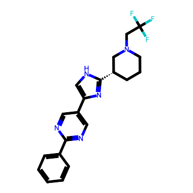 FC(F)(F)CN1CCC[C@H](c2nc(-c3cnc(-c4ccccc4)nc3)c[nH]2)C1